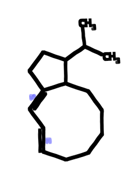 CC(C)C1CC/C2=C/C=C/CCCCCC21